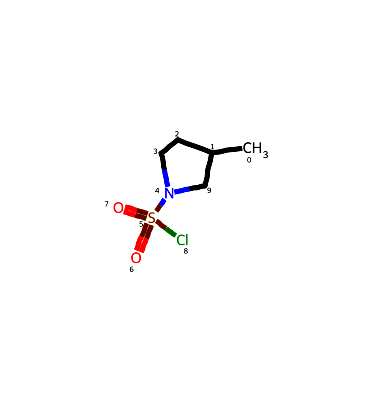 CC1CCN(S(=O)(=O)Cl)C1